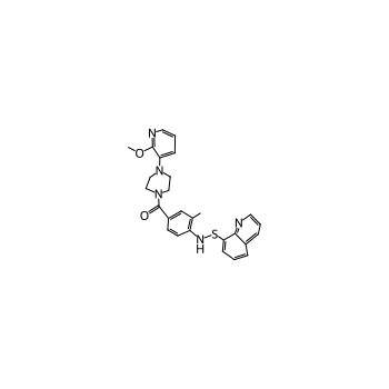 COc1ncccc1N1CCN(C(=O)c2ccc(NSc3cccc4cccnc34)c(C)c2)CC1